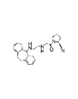 N#C[C@@H]1CCCN1C(=O)CNCCNC1c2ccccc2CCc2ccccc21